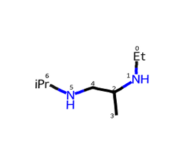 CCNC(C)CNC(C)C